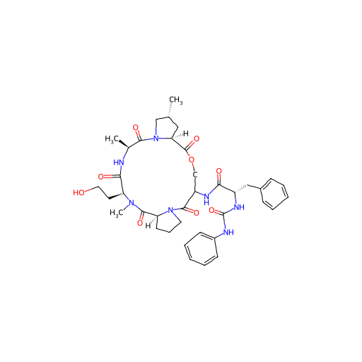 C[C@@H]1C[C@H]2C(=O)OCC(NC(=O)[C@H](Cc3ccccc3)NC(=O)Nc3ccccc3)C(=O)N3CCC[C@H]3C(=O)N(C)[C@@H](CCO)C(=O)N[C@@H](C)C(=O)N2C1